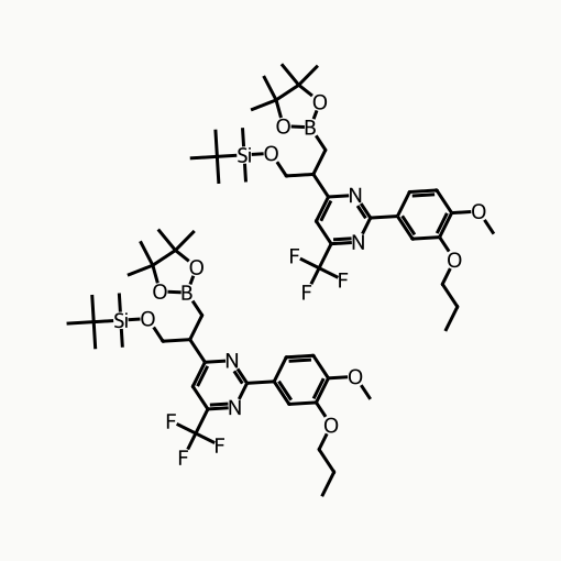 CCCOc1cc(-c2nc(C(CO[Si](C)(C)C(C)(C)C)CB3OC(C)(C)C(C)(C)O3)cc(C(F)(F)F)n2)ccc1OC.CCCOc1cc(-c2nc(C(CO[Si](C)(C)C(C)(C)C)CB3OC(C)(C)C(C)(C)O3)cc(C(F)(F)F)n2)ccc1OC